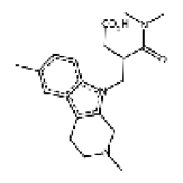 Cc1ccc2c(c1)c1c(n2CC(CC(=O)O)C(=O)N(C)C)CN(C)CC1